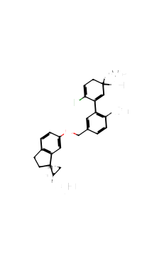 CCOC(=O)[C@@H]1C[C@]12CCc1ccc(OCc3ccc(C(C)(C)C)c(C4=CC(C)(OC)CC=C4F)c3)cc12